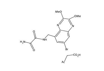 CC(=O)CC(=O)O.COc1nc2cc(Br)cc(CNC(=O)C(N)=O)c2nc1OC